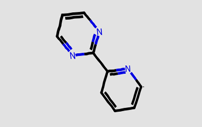 [c]1cccc(-c2ncccn2)n1